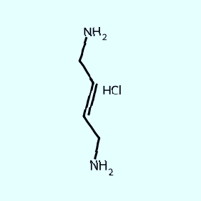 Cl.NCC=CCN